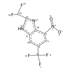 O=[N+]([O-])c1cc(C(F)(F)F)cc2[nH]c(C(F)F)nc12